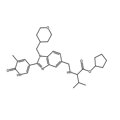 Cc1cc(-c2nc3cc(CNC(C(=O)OC4CCCC4)C(C)C)ccc3n2CC2CCOCC2)c[nH]c1=O